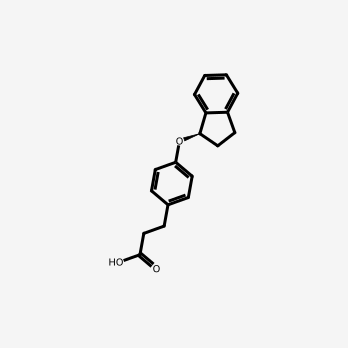 O=C(O)CCc1ccc(O[C@@H]2CCc3ccccc32)cc1